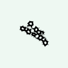 Cc1ccccc1N(c1ccc2c(c1)C1(c3ccccc3Sc3cc4c(cc31)sc1ccccc14)c1ccccc1-2)c1cccc2c1oc1ccccc12